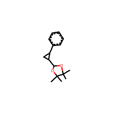 CC1(C)OC(C2CC2c2ccccc2)OC1(C)C